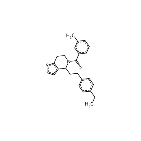 CCc1ccc(CCC2c3ccsc3CCN2C(=S)c2cccc(C)c2)cc1